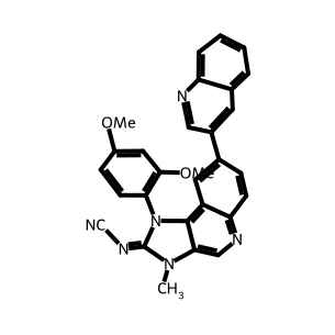 COc1ccc(-n2/c(=N\C#N)n(C)c3cnc4ccc(-c5cnc6ccccc6c5)cc4c32)c(OC)c1